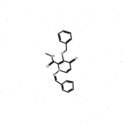 CNC(=O)c1c(OCc2ccccc2)c(=O)ccn1/N=C\c1ccccc1